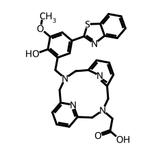 COc1cc(-c2nc3ccccc3s2)cc(CN2Cc3cccc(n3)CN(CC(=O)O)Cc3cccc(n3)C2)c1O